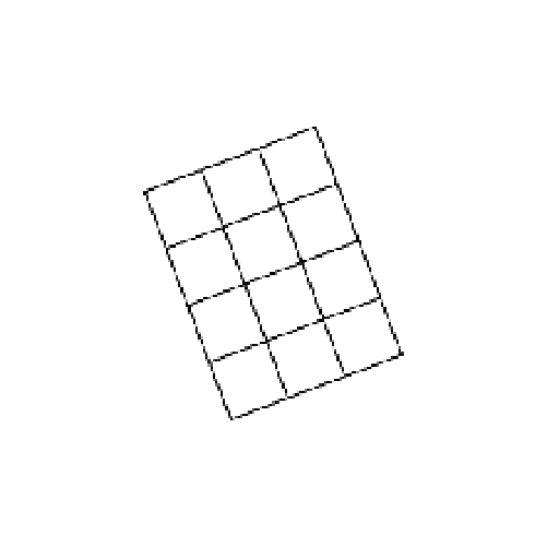 C1C2C3CC4C5C6CC7C8CC9C%10C1C21C34C52C76C89C%1012